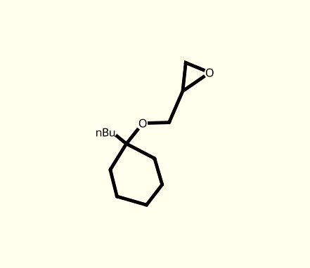 CCCCC1(OCC2CO2)CCCCC1